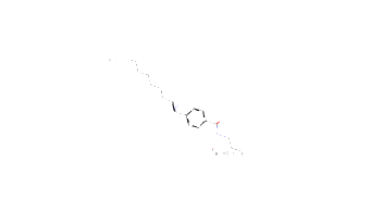 CCCCCCCCCCCCCCCC/C=C/c1ccc(C(=O)N(CCCC(=O)O)OCCCCCC)cc1